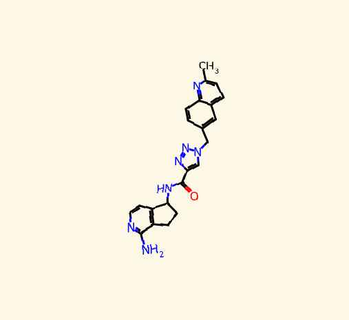 Cc1ccc2cc(Cn3cc(C(=O)NC4CCc5c4ccnc5N)nn3)ccc2n1